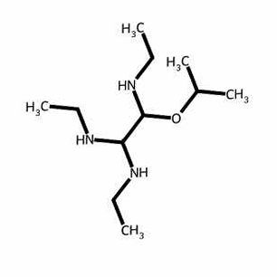 CCN[C](NCC)C(NCC)OC(C)C